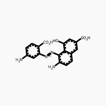 Nc1ccc(C(=O)O)c(/N=N/c2c(N)ccc3cc(S(=O)(=O)O)cc(O)c23)c1